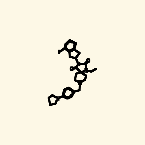 CCN1C(=O)N(C2Cc3cccc(F)c3C2)C(=O)C12CCN(Cc1ccc(N3CCCC3)cc1)CC2